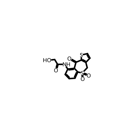 O=C(CO)Nc1cccc2c1C(=O)c1sccc1CS2(=O)=O